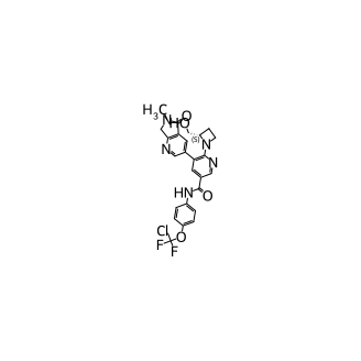 CN1Cc2ncc(-c3cc(C(=O)Nc4ccc(OC(F)(F)Cl)cc4)cnc3N3CC[C@H]3CO)cc2C1=O